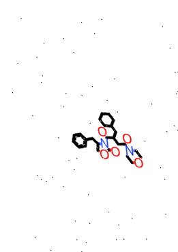 O=C(CC(CC1CCCCC1)C(=O)N1C(=O)OCC1Cc1ccccc1)N1CCOCC1